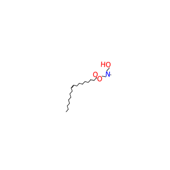 CCCCCCCC/C=C\CCCCCCCC(=O)OCCN(C)CCO